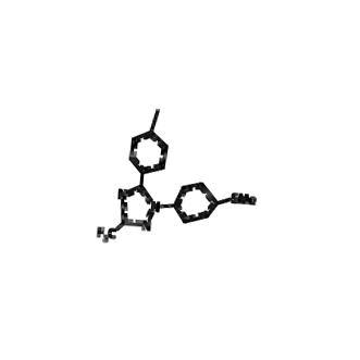 CSc1ccc(-n2nc(C(F)(F)F)nc2-c2ccc(C)cc2)cc1